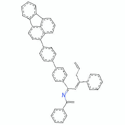 C=CC/C(=C\C(=N/C(=C)c1ccccc1)c1ccc(-c2ccc(-c3ccc4c5c(cccc35)-c3ccccc3-4)cc2)cc1)c1ccccc1